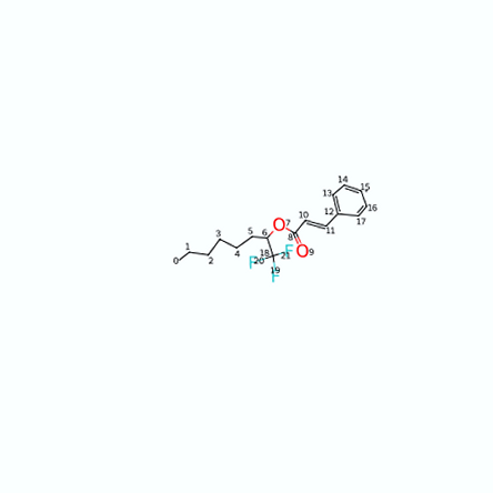 CCCCCCC(OC(=O)C=Cc1cc[c]cc1)C(F)(F)F